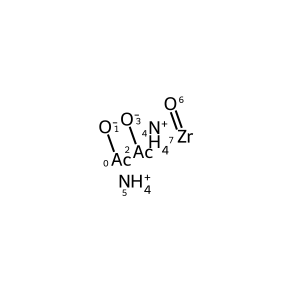 CC(=O)[O-].CC(=O)[O-].[NH4+].[NH4+].[O]=[Zr]